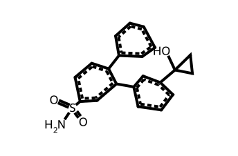 NS(=O)(=O)c1ccc(-c2ccccc2)c(-c2cccc(C3(O)CC3)c2)c1